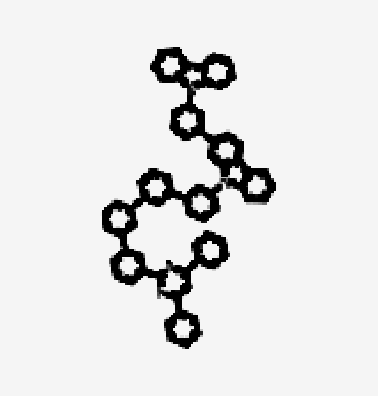 c1ccc(-c2cc(-c3ccccc3)nc(-c3cccc(-c4cccc(-c5cccc(-c6cccc(-n7c8ccccc8c8ccc(-c9cccc(-n%10c%11ccccc%11c%11ccccc%11%10)c9)cc87)c6)c5)c4)c3)n2)cc1